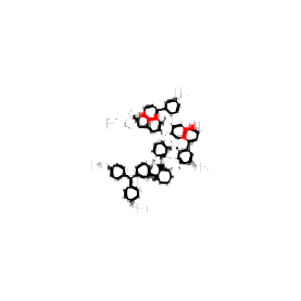 Cc1cc2c3c(c1)N(c1ccc(C(C)(C)C)cc1-c1ccccc1)c1cc4c(cc1B3c1ccc(N3c5ccc(C(c6ccc(C(C)(C)C)cc6)c6ccc(C(C)(C)C)cc6)cc5C5(C)CCCCC35C)cc1N2c1ccc(C(C)(C)C)cc1-c1ccccc1)CC(C)(C)C4